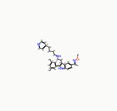 CON=C(C)c1ccc2[nH]c(-c3cc(C)cc(C)c3)c(CCNCCCCc3ccncc3)c2c1